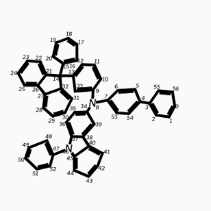 c1ccc(-c2ccc(N(c3cccc(C4(c5ccccc5)c5ccccc5-c5ccccc54)c3)c3ccc4c(c3)c3ccccc3n4-c3ccccc3)cc2)cc1